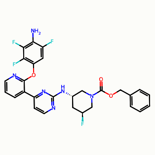 Nc1c(F)cc(Oc2ncccc2-c2ccnc(N[C@H]3C[C@H](F)CN(C(=O)OCc4ccccc4)C3)n2)c(F)c1F